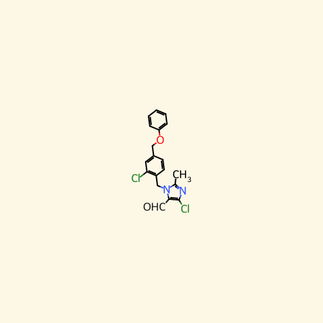 Cc1nc(Cl)c(C=O)n1Cc1ccc(COc2ccccc2)cc1Cl